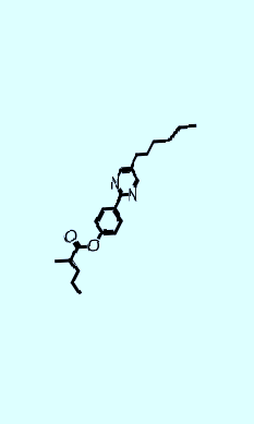 CCCCCCc1cnc(-c2ccc(OC(=O)C(C)CCC)cc2)nc1